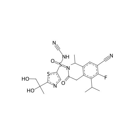 CC(C)c1cc(C#N)c(F)c(C(C)C)c1CC(=O)N=S(=O)(NC#N)c1cnc(C(C)(O)CO)s1